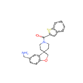 NCc1ccc2c(c1)C1(CCN(C(=O)c3cc4ccccc4s3)CC1)CO2